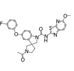 COc1ccc2nc(NC(=O)N3CC4(CCN(C(C)=O)C4)c4cc(Oc5cccc(F)c5)ccc43)sc2n1